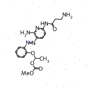 COC(=O)OC(C)Oc1ccccc1/N=N/c1ccc(NC(=O)CCN)nc1N